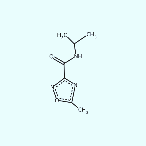 Cc1nc(C(=O)NC(C)C)no1